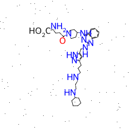 N[C@@H](CCC(=O)N1CCC(Nc2nc(NCc3cc(CCCNCCCNC4CCCCC4)n[nH]3)nc3ccccc23)CC1)C(=O)O